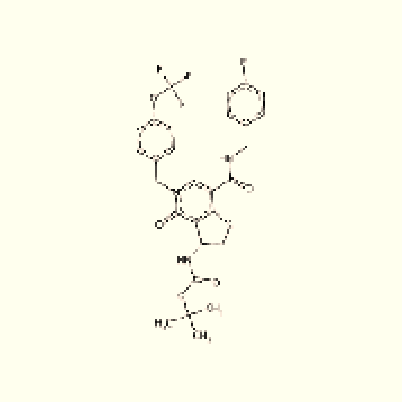 CC(C)(C)OC(=O)N[C@H]1CSc2c(C(=O)NCc3ccc(F)cc3)cn(Cc3ccc(OC(F)(F)F)cc3)c(=O)c21